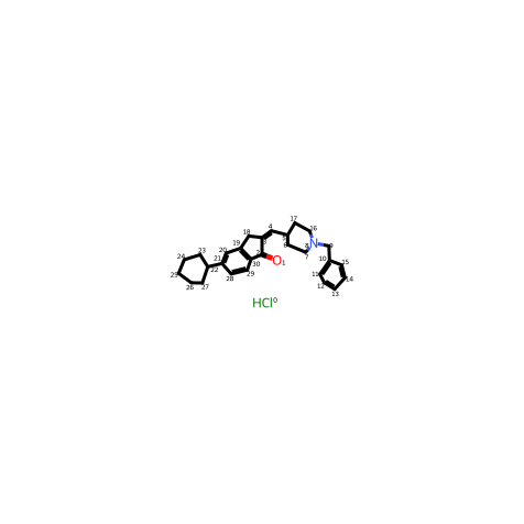 Cl.O=C1C(=CC2CCN(Cc3ccccc3)CC2)Cc2cc(C3CCCCC3)ccc21